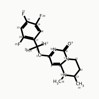 [2H]C([2H])(Oc1cc2n(c(=O)n1)CCC(C)N2C)c1cc(F)c(F)cc1F